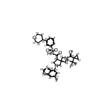 O=C(NS(=O)(=O)c1cccc(C2CCOCC2)c1)C1CN(c2cc(F)cc3ncsc23)CC12CN(C(=O)C1(C(F)(F)F)CC1)C2